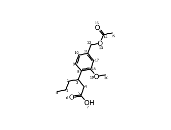 CCCC(CC(=O)O)c1ccc(COC(C)=O)cc1OC